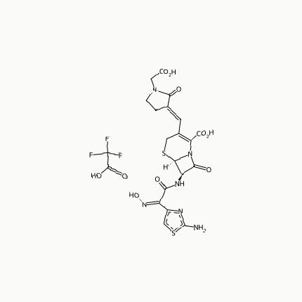 Nc1nc(/C(=N/O)C(=O)N[C@@H]2C(=O)N3C(C(=O)O)=C(/C=C4\CCN(CC(=O)O)C4=O)CS[C@H]23)cs1.O=C(O)C(F)(F)F